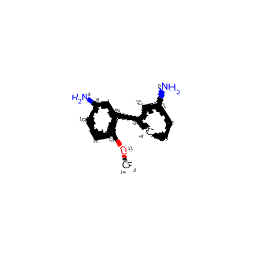 Nc1cccc(-c2cc(N)ccc2OC(F)(F)F)c1